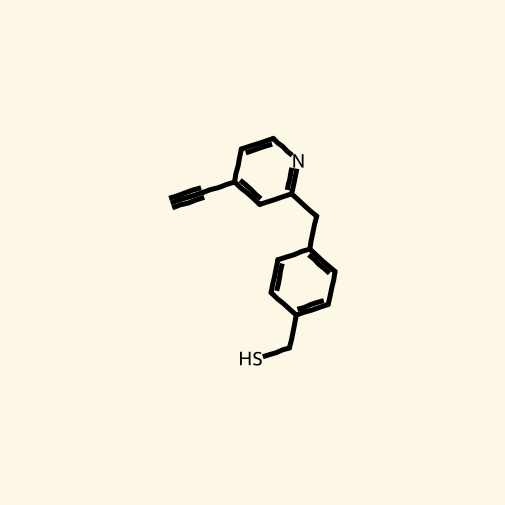 C#Cc1ccnc(Cc2ccc(CS)cc2)c1